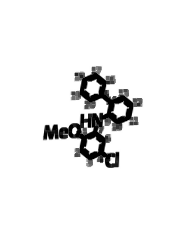 COc1ccc(Cl)cc1Nc1ccccc1-c1ccccc1